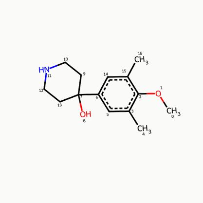 COc1c(C)cc(C2(O)CCNCC2)cc1C